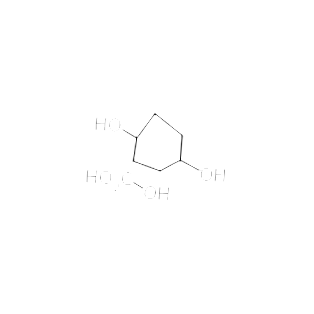 O=C(O)O.OC1CCC(O)CC1